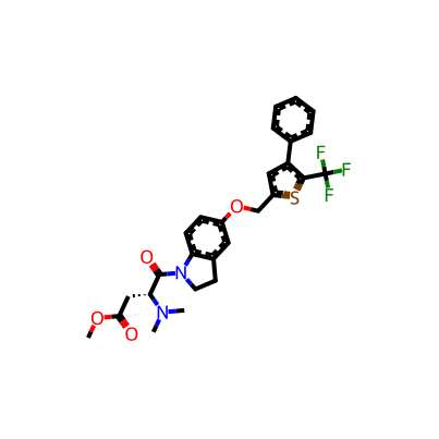 COC(=O)C[C@H](C(=O)N1CCc2cc(OCc3cc(-c4ccccc4)c(C(F)(F)F)s3)ccc21)N(C)C